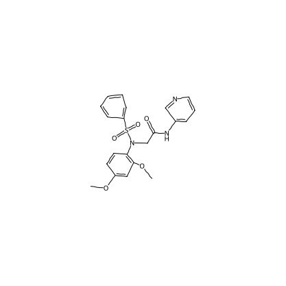 COc1ccc(N(CC(=O)Nc2cccnc2)S(=O)(=O)c2ccccc2)c(OC)c1